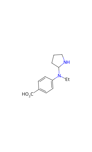 CCN(c1ccc(C(=O)O)cc1)C1CCCN1